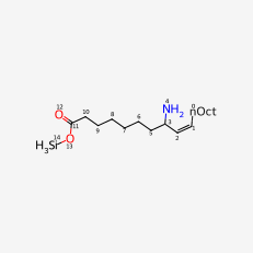 CCCCCCCC/C=C\C(N)CCCCCCC(=O)O[SiH3]